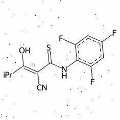 CC(C)/C(O)=C(\C#N)C(=S)Nc1c(F)cc(F)cc1F